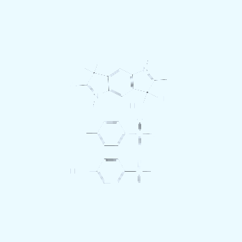 CC1=[N+](C)c2cc3c(cc2C1(C)C)[N+](C)=C(C)C3(C)C.Cc1ccc(S(=O)(=O)[O-])cc1.Cc1ccc(S(=O)(=O)[O-])cc1